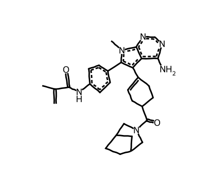 C=C(C)C(=O)Nc1ccc(-c2c(C3=CCC(C(=O)N4CC5CCC(C5)C4)CC3)c3c(N)ncnc3n2C)cc1